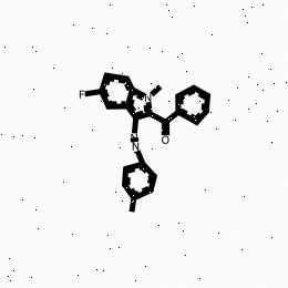 Cc1ccc(/N=N/c2c(C(=O)c3ccccc3)n(C)c3ccc(F)cc23)cc1